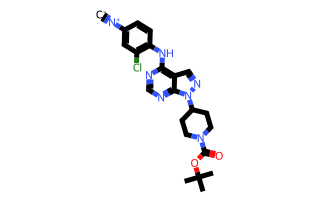 [C-]#[N+]c1ccc(Nc2ncnc3c2cnn3C2CCN(C(=O)OC(C)(C)C)CC2)c(Cl)c1